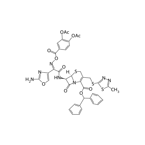 CC(=O)Oc1ccc(C(=O)O/N=C(\C(=O)N[C@@H]2C(=O)N3C(C(=O)OC(c4ccccc4)c4ccccc4)=C(CSc4nnc(C)s4)CS[C@H]23)c2coc(N)n2)cc1OC(C)=O